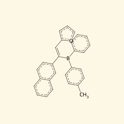 Cc1ccc(B(/C(=C\c2ccco2)c2ccc3ccccc3c2)c2ccccc2)cc1